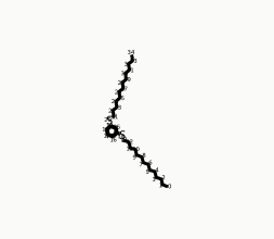 CCCCCCCCCCCCCCSc1c[c]cc(SCCCCCCCCCCCCCC)c1